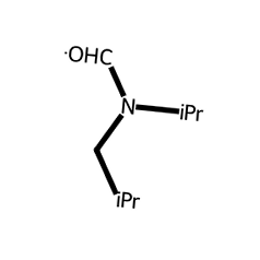 CC(C)CN([C]=O)C(C)C